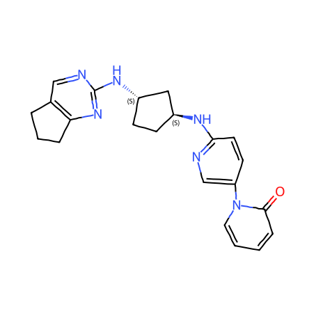 O=c1ccccn1-c1ccc(N[C@H]2CC[C@H](Nc3ncc4c(n3)CCC4)C2)nc1